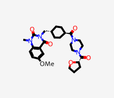 COc1ccc2c(c1)c(=O)n(C[C@H]1CC[C@H](C(=O)N3CCN(C(=O)[C@@H]4CCCO4)CC3)CC1)c(=O)n2C